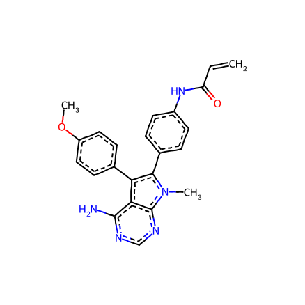 C=CC(=O)Nc1ccc(-c2c(-c3ccc(OC)cc3)c3c(N)ncnc3n2C)cc1